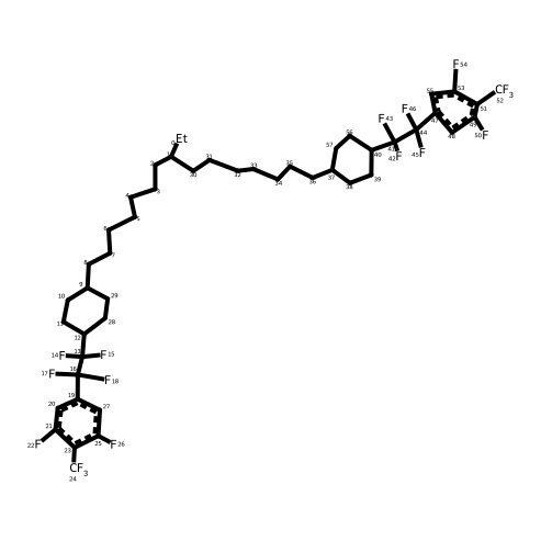 CCC(CCCCCCCC1CCC(C(F)(F)C(F)(F)c2cc(F)c(C(F)(F)F)c(F)c2)CC1)CCCCCCCC1CCC(C(F)(F)C(F)(F)c2cc(F)c(C(F)(F)F)c(F)c2)CC1